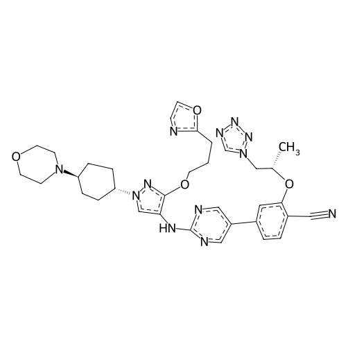 C[C@@H](Cn1cnnn1)Oc1cc(-c2cnc(Nc3cn([C@H]4CC[C@H](N5CCOCC5)CC4)nc3OCCCc3ncco3)nc2)ccc1C#N